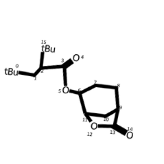 CC(C)(C)CC(C(=O)OC1CCC2CC1OC2=O)C(C)(C)C